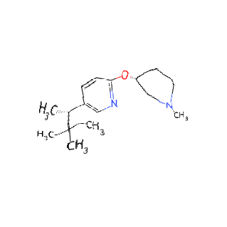 C[C@H](c1ccc(O[C@@H]2CCN(C)C2)nc1)C(C)(C)C